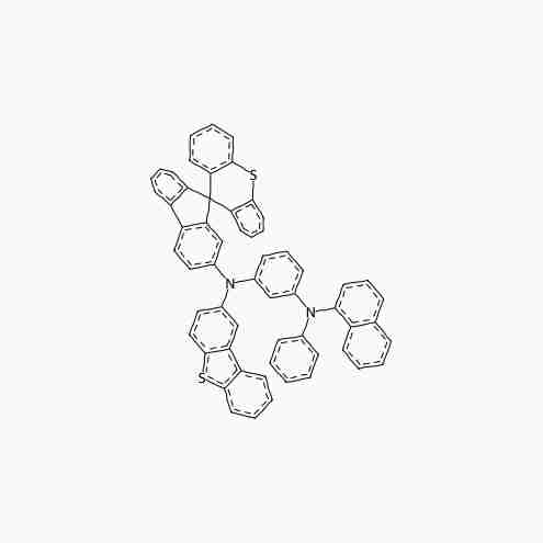 c1ccc(N(c2cccc(N(c3ccc4c(c3)C3(c5ccccc5Sc5ccccc53)c3ccccc3-4)c3ccc4sc5ccccc5c4c3)c2)c2cccc3ccccc23)cc1